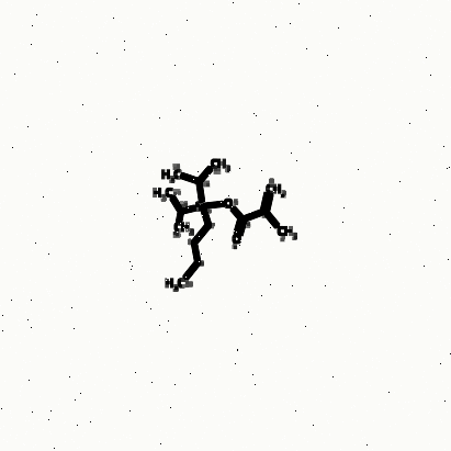 C=C(C)C(=O)O[Si](CCCC)(C(C)C)C(C)C